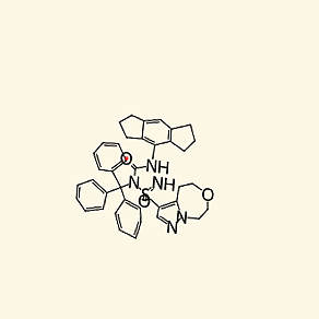 N=S(=O)(c1cnn2c1CCOCC2)N(C(=O)Nc1c2c(cc3c1CCC3)CCC2)C(c1ccccc1)(c1ccccc1)c1ccccc1